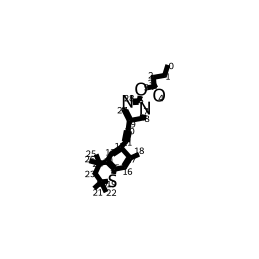 CCCC(=O)Oc1ncc(C#Cc2cc3c(cc2C)SC(C)(C)CC3(C)C)cn1